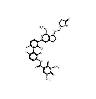 COc1nc(-c2ccc(F)c(-c3c(F)ccc(NC(=O)c4cn(C)c(=O)n(C)c4=O)c3Cl)c2Cl)cc2c1[C@@H](NC[C@@H]1CCC(=O)N1)CC2